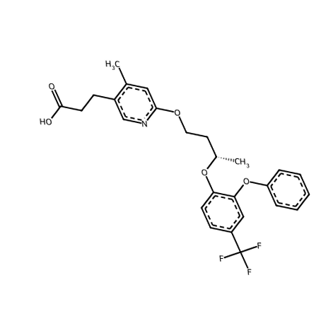 Cc1cc(OCC[C@H](C)Oc2ccc(C(F)(F)F)cc2Oc2ccccc2)ncc1CCC(=O)O